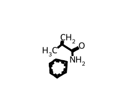 C=C(C)C(N)=O.c1ccccc1